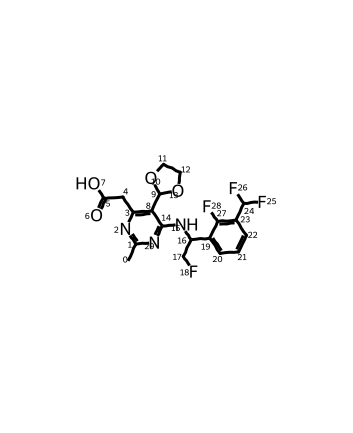 Cc1nc(CC(=O)O)c(C2OCCO2)c(NC(CF)c2cccc(C(F)F)c2F)n1